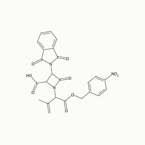 C=C(C)C(C(=O)OCc1ccc([N+](=O)[O-])cc1)N1C(=O)C(N2C(=O)c3ccccc3C2=O)C1S(=O)O